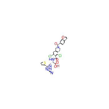 N#C/N=C(\NC[C@H](NC(=O)c1c(Cl)cc2c(c1Cl)CCN(C(=O)c1ccc3ccoc3c1)C2)C(=O)O)c1cccs1